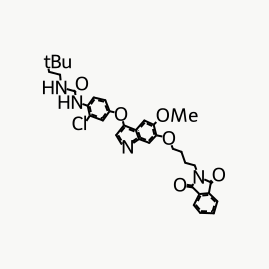 COc1cc2c(Oc3ccc(NC(=O)NCCC(C)(C)C)c(Cl)c3)ccnc2cc1OCCCCN1C(=O)c2ccccc2C1=O